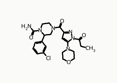 CCC(=O)n1nc(C(=O)N2CCN(C(N)=O)C(c3cccc(Cl)c3)C2)cc1N1CCOCC1